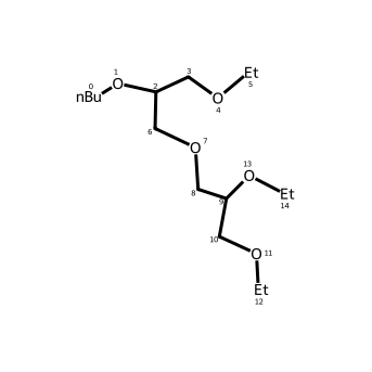 CCCCOC(COCC)COCC(COCC)OCC